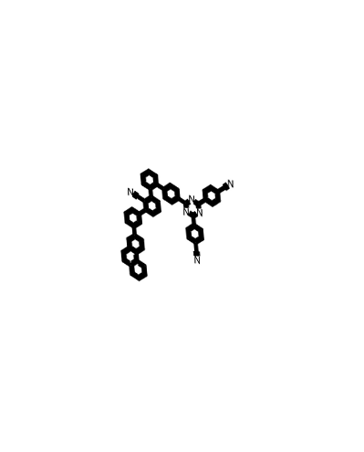 N#Cc1ccc(-c2nc(-c3ccc(C#N)cc3)nc(-c3ccc(-c4ccccc4-c4cccc(-c5cccc(-c6ccc7c(ccc8ccccc87)c6)c5)c4C#N)cc3)n2)cc1